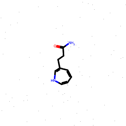 NC(=O)CCC1=CNC=CC=C1